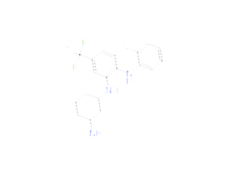 NC1CCCC(Nc2cc(C(F)(F)F)cc3c2Nc2ccccc2S3)C1